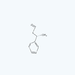 C[C@@H](CC=O)c1ccccc1